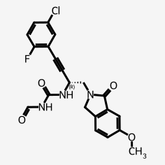 COc1ccc2c(c1)C(=O)N(C[C@@H](C#Cc1cc(Cl)ccc1F)NC(=O)NC=O)C2